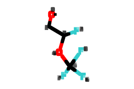 [O]CC(F)OC(F)(F)F